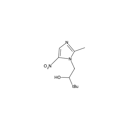 Cc1ncc([N+](=O)[O-])n1CC(O)C(C)(C)C